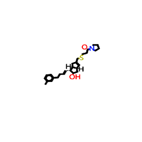 Cc1cccc(CC/C=C/[C@@H]2[C@H]3CC(CSCCC(=O)N4CCCC4)=C[C@H]3C[C@H]2O)c1